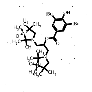 CC(C)(C)c1cc(C(=O)OC(CN2CC(C)(C)[N+](C)([O-])C2(C)C)CN2CC(C)(C)[N+](C)([O-])C2(C)C)cc(C(C)(C)C)c1O